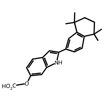 CC1(C)CCC(C)(C)c2cc(-c3cc4ccc(OC(=O)O)cc4[nH]3)ccc21